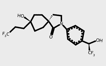 O=C1N(c2ccc([C@@H](O)C(F)(F)F)cc2)CC[C@]12CC[C@@](O)(CCC(F)(F)F)CC2